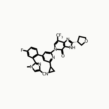 Cn1cc(C#N)nc1-c1cc(F)ccc1-c1cc(C2CC2)nc(-n2cc(C(F)(F)F)c3nc([C@@H]4CCOC4)[nH]c3c2=O)c1